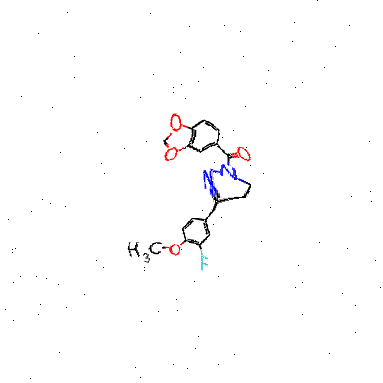 COc1ccc(C2=NN(C(=O)c3ccc4c(c3)OCO4)CC2)cc1F